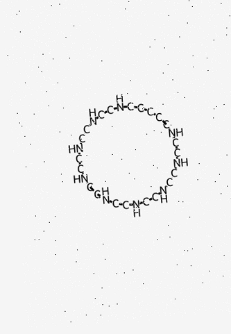 C1CCNCCNCCNCCNCCNCCNCCNCCNCCNCC1